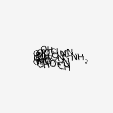 C#C[C@]1(O)C(n2cnc3c(N)ncnc32)O[C@](CCl)(COP(=O)(O)OP(=O)(O)OP(=O)(O)O)[C@H]1O